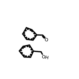 O=Cc1ccccc1.OCc1ccccc1